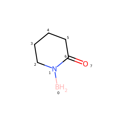 BN1CCCCC1=O